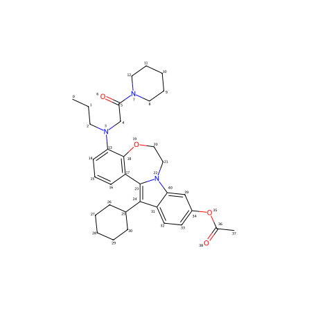 CCCN(CC(=O)N1CCCCC1)c1cccc2c1OCCn1c-2c(C2CCCCC2)c2ccc(OC(C)=O)cc21